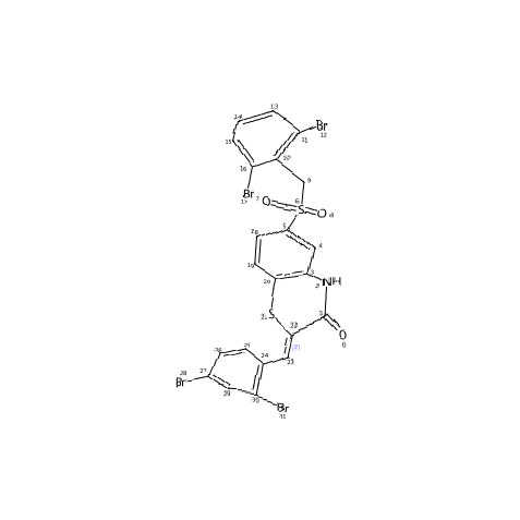 O=C1Nc2cc(S(=O)(=O)Cc3c(Br)cccc3Br)ccc2S/C1=C\c1ccc(Br)cc1Br